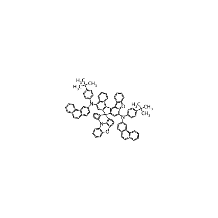 CC(C)(C)c1ccc(N(c2ccc3ccc4ccccc4c3c2)c2cc3c(c4ccccc24)-c2c(cc(N(c4ccc(C(C)(C)C)cc4)c4ccc5ccc6ccccc6c5c4)c4oc5ccccc5c24)C32c3ccccc3N3c4ccccc4Oc4cccc2c43)cc1